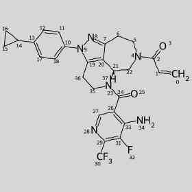 C=CC(=O)N1CCc2nn(-c3ccc(C4CC4)cc3)c3c2[C@H](C1)N(C(=O)c1cnc(C(F)(F)F)c(F)c1N)CC3